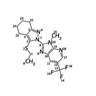 CCSc1c2c(nn1-c1nc3cc(C(F)(F)F)cnc3n1C)CCCC2